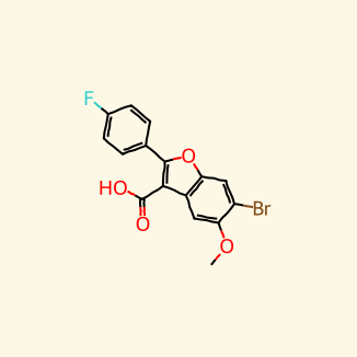 COc1cc2c(C(=O)O)c(-c3ccc(F)cc3)oc2cc1Br